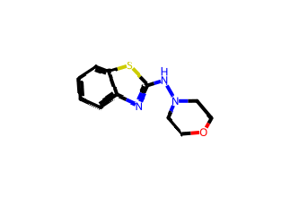 c1ccc2sc(NN3CCOCC3)nc2c1